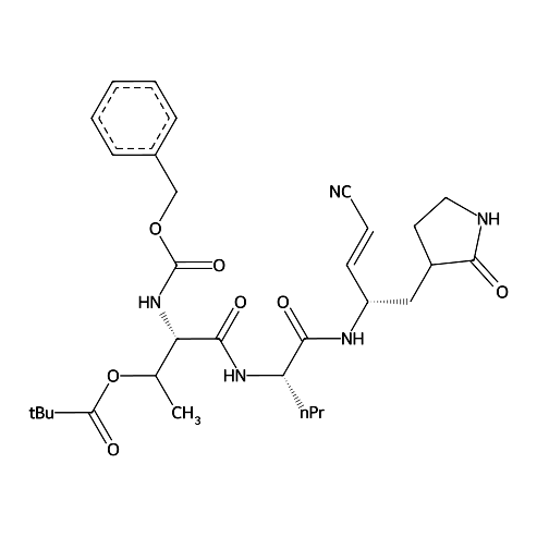 CCC[C@H](NC(=O)[C@@H](NC(=O)OCc1ccccc1)C(C)OC(=O)C(C)(C)C)C(=O)N[C@H](/C=C/C#N)CC1CCNC1=O